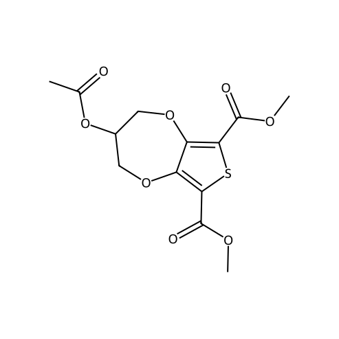 COC(=O)c1sc(C(=O)OC)c2c1OCC(OC(C)=O)CO2